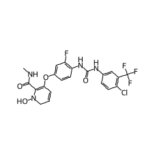 CNC(=O)C1=C(Oc2ccc(NC(=O)Nc3ccc(Cl)c(C(F)(F)F)c3)c(F)c2)C=CCN1O